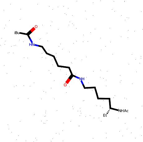 CCC(C)C(=O)NCCCCCC(=O)NCCCC[C@@H](CC)NC(C)=O